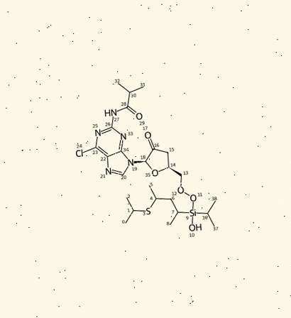 CC(C)SC(C)CC(C)[Si](O)(OOC[C@@H]1CC(=O)[C@H](n2cnc3c(Cl)nc(NC(=O)C(C)C)nc32)O1)C(C)C